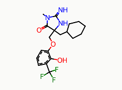 CN1C(=N)NC(COc2cccc(C(F)(F)F)c2O)(CC2CCCCC2)C1=O